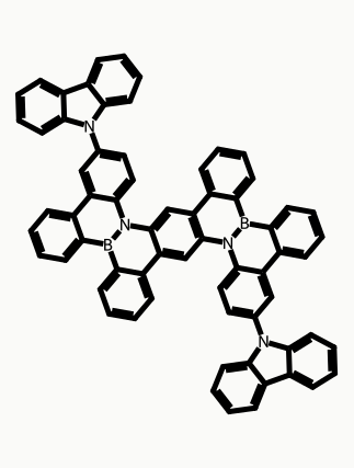 c1ccc2c(c1)B1c3ccccc3-c3cc4c(cc3N1c1ccc(-n3c5ccccc5c5ccccc53)cc1-2)-c1ccccc1B1c2ccccc2-c2cc(-n3c5ccccc5c5ccccc53)ccc2N14